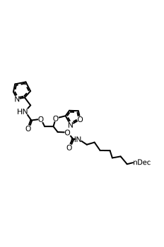 CCCCCCCCCCCCCCCCCNC(=O)OCC(COC(=O)NCc1ccccn1)Oc1ccon1